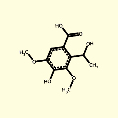 COc1cc(C(=O)O)c(C(C)O)c(OC)c1O